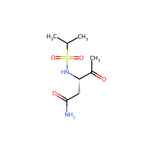 CC(=O)[C@H](CC(N)=O)NS(=O)(=O)C(C)C